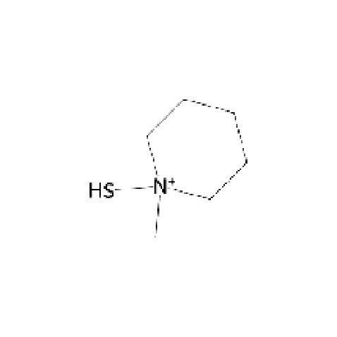 C[N+]1(S)CCCCC1